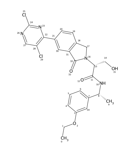 CCOc1cccc([C@@H](C)NC(=O)[C@@H](CO)N2Cc3ccc(-c4nc(Cl)ncc4Cl)cc3C2=O)c1